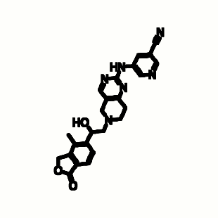 Cc1c(C(O)CN2CCc3nc(Nc4cncc(C#N)c4)ncc3C2)ccc2c1COC2=O